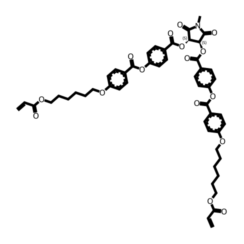 C=CC(=O)OCCCCCCOc1ccc(C(=O)Oc2ccc(C(=O)O[C@@H]3C(=O)N(C)C(=O)[C@H]3OC(=O)c3ccc(OC(=O)c4ccc(OCCCCCCOC(=O)C=C)cc4)cc3)cc2)cc1